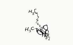 CCCCCCCCCCCC(=O)C(C(N)=O)N(C)CCC